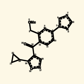 COCc1nc(-n2cncn2)ccc1C(=O)c1cnoc1C1CC1